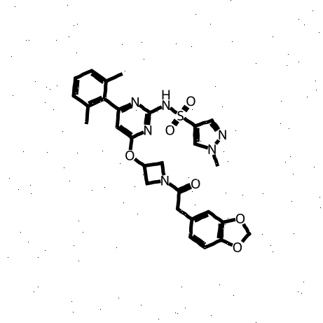 Cc1cccc(C)c1-c1cc(OC2CN(C(=O)Cc3ccc4c(c3)OCO4)C2)nc(NS(=O)(=O)c2cnn(C)c2)n1